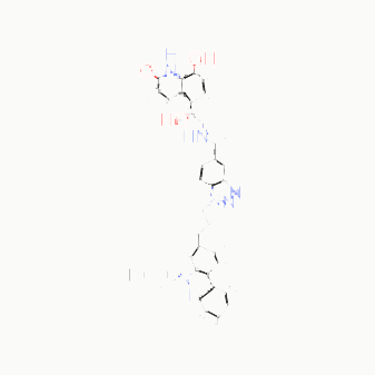 O=C(O)Nc1cc(CCCn2nnc3cc(CNC[C@H](O)c4ccc(O)c5[nH]c(=O)ccc45)ccc32)ccc1-c1ccccc1